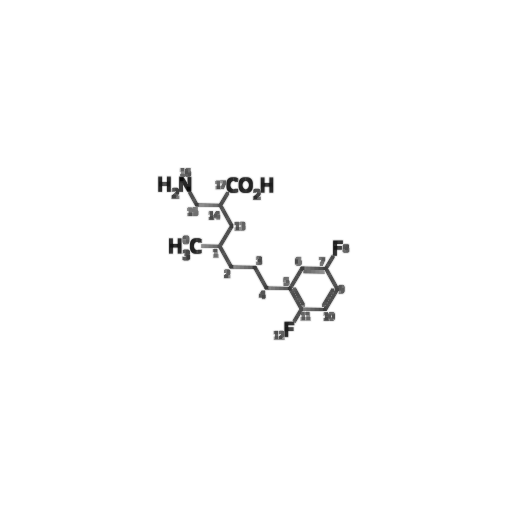 CC(CCCc1cc(F)ccc1F)CC(CN)C(=O)O